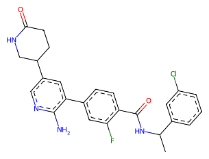 CC(NC(=O)c1ccc(-c2cc(C3CCC(=O)NC3)cnc2N)cc1F)c1cccc(Cl)c1